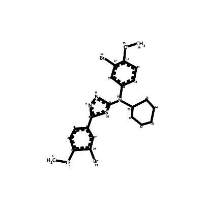 COc1ccc(-c2nnc(N(c3ccc(OC)c(Br)c3)C3CCCCC3)s2)cc1Br